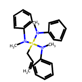 C=CCS(N(C)c1ccccc1)(N(C)c1ccccc1)N(C)c1ccccc1